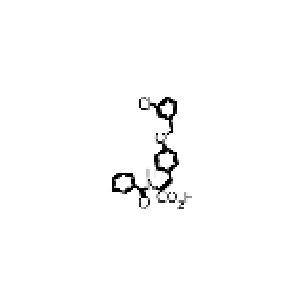 O=C(O)C(=Cc1ccc(OCc2cccc(Cl)c2)cc1)NC(=O)c1ccccc1